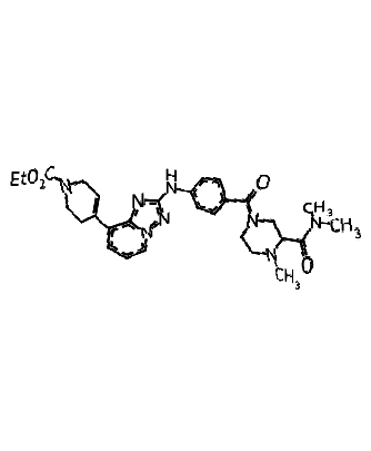 CCOC(=O)N1CC=C(c2cccn3nc(Nc4ccc(C(=O)N5CCN(C)C(C(=O)N(C)C)C5)cc4)nc23)CC1